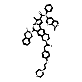 Cc1c(C(=O)N(c2ccccc2)c2cnc3c(cnn3C)c2)cc(-c2cc3c(cc2C(=O)N2Cc4ccccc4C[C@H]2C)CN(C(=O)Cc2ccc(OCCN4CCOCC4)cc2)CC3)n1C